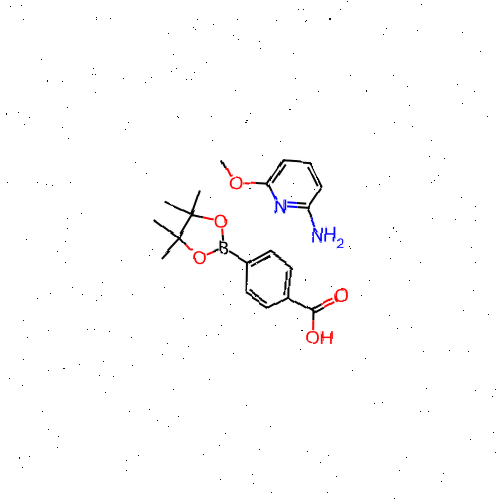 CC1(C)OB(c2ccc(C(=O)O)cc2)OC1(C)C.COc1cccc(N)n1